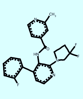 Cc1cc(C(=O)Nc2c(-c3ccccc3F)ccnc2N2CCC(F)(F)C2)ccn1